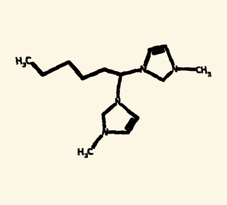 CCCCCC(N1C=CN(C)C1)N1C=CN(C)C1